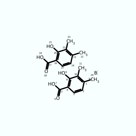 Cc1ccc(C(=O)O)c(O)c1C.Cc1ccc(C(=O)O)c(O)c1C.[B]